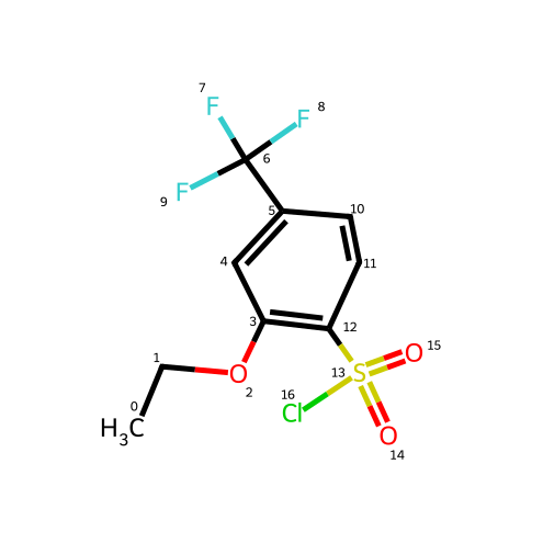 CCOc1cc(C(F)(F)F)ccc1S(=O)(=O)Cl